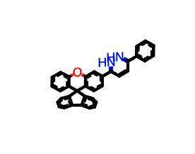 N=C(/C=C\C(=N)c1ccc2c(c1)Oc1ccccc1C21c2ccccc2-c2ccccc21)c1ccccc1